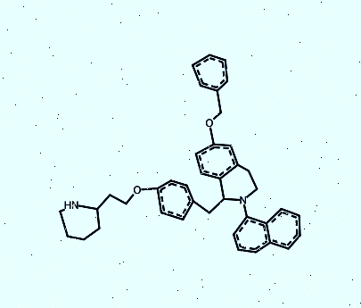 c1ccc(COc2ccc3c(c2)CCN(c2cccc4ccccc24)C3Cc2ccc(OCCC3CCCCN3)cc2)cc1